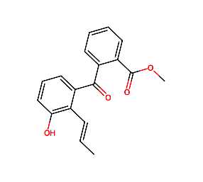 CC=Cc1c(O)cccc1C(=O)c1ccccc1C(=O)OC